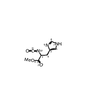 COC(=O)C(Cc1c[nH]cn1)N=C=O